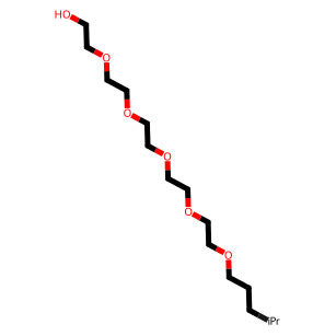 CC(C)CCCOCCOCCOCCOCCOCCO